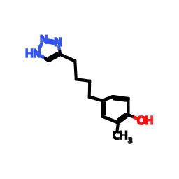 Cc1cc(CCCCc2c[nH]nn2)ccc1O